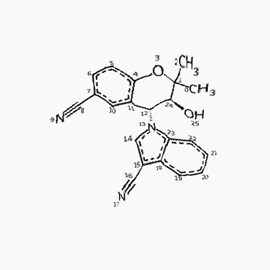 CC1(C)Oc2ccc(C#N)cc2[C@@H](n2cc(C#N)c3ccccc32)[C@@H]1O